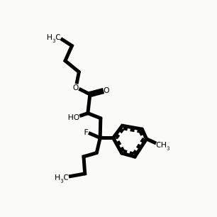 CCCCOC(=O)C(O)CC(F)(CCCC)c1ccc(C)cc1